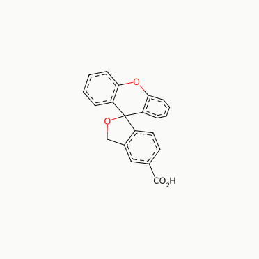 O=C(O)c1ccc2c(c1)COC21c2ccccc2Oc2ccccc21